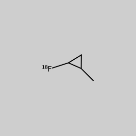 CC1CC1[18F]